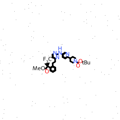 COC(=O)C1(c2ccccc2CCc2nc(Nc3ccc(C4CCN(C(=O)OC(C)(C)C)CC4)nc3)ncc2C(F)(F)F)CC1